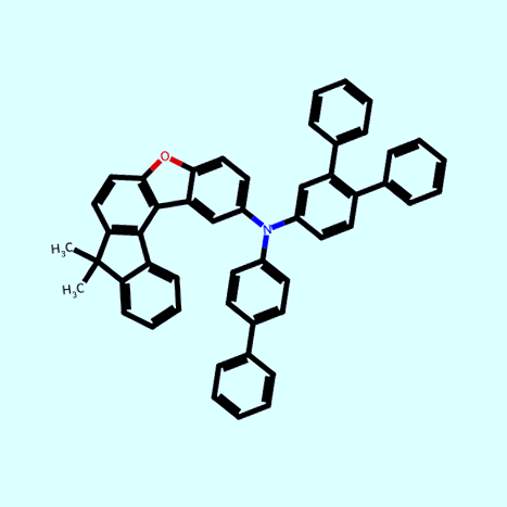 CC1(C)c2ccccc2-c2c1ccc1oc3ccc(N(c4ccc(-c5ccccc5)cc4)c4ccc(-c5ccccc5)c(-c5ccccc5)c4)cc3c21